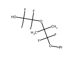 CC(C)OC(F)(F)C(C)(C)OC(F)(F)C(O)(F)F